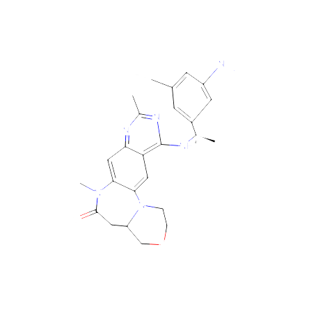 Cc1nc(N[C@H](C)c2cc(N)cc(C(F)(F)F)c2)c2cc3c(cc2n1)N(C)C(=O)CC1COCCN31